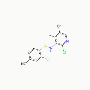 Cc1c(Br)cnc(Cl)c1NSc1ccc(C#N)cc1Cl